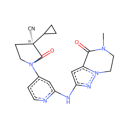 CN1CCn2nc(Nc3cc(N4CC[C@@](C#N)(C5CC5)C4=O)ccn3)cc2C1=O